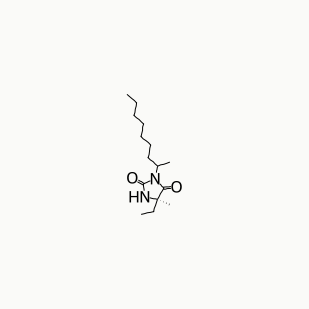 CCCCCCCC(C)N1C(=O)N[C@](C)(CC)C1=O